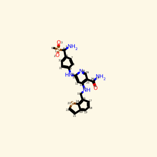 CS(=O)(=O)C(N)c1ccc(Nc2cc(NCc3cccc4ccsc34)c(C(N)=O)cn2)cc1